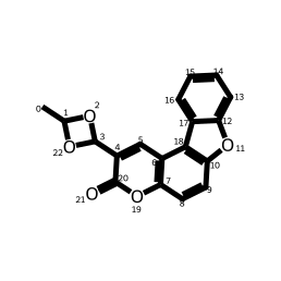 CC1OC(c2cc3c(ccc4oc5ccccc5c43)oc2=O)O1